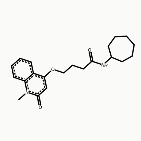 Cn1c(=O)cc(OCCCC(=O)NC2CCCCCC2)c2ccccc21